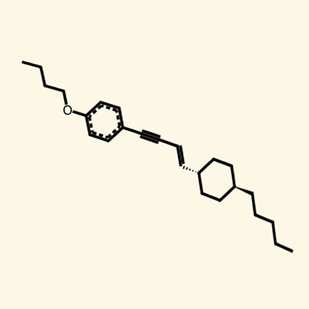 CCCCC[C@H]1CC[C@H](C=CC#Cc2ccc(OCCCC)cc2)CC1